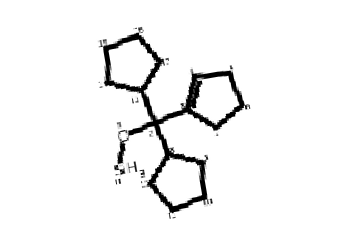 [SiH3]OC(C1=CCCC1)(C1CCCC1)C1CCCC1